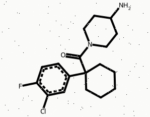 NC1CCN(C(=O)C2(c3ccc(F)c(Cl)c3)C[CH]CCC2)CC1